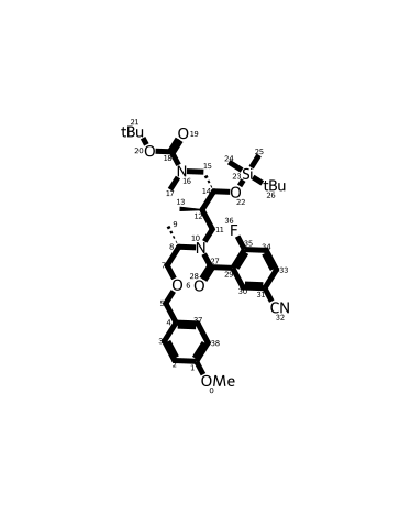 COc1ccc(COC[C@H](C)N(C[C@@H](C)[C@H](CN(C)C(=O)OC(C)(C)C)O[Si](C)(C)C(C)(C)C)C(=O)c2cc(C#N)ccc2F)cc1